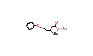 CC(C)(C)OC(=O)CC(CCCOc1ccccc1)C(C)(C)C